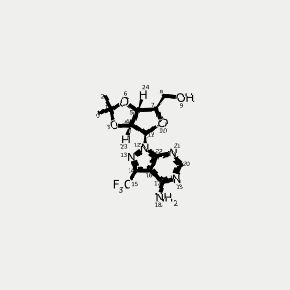 CC1(C)O[C@@H]2[C@H](O1)[C@@H](CO)O[C@H]2n1nc(C(F)(F)F)c2c(N)ncnc21